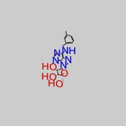 Cc1cccc(CNc2ncnc3c2ncn3[C@@H]2O[C@H](CO)[C@@H](O)[C@@H]2O)c1